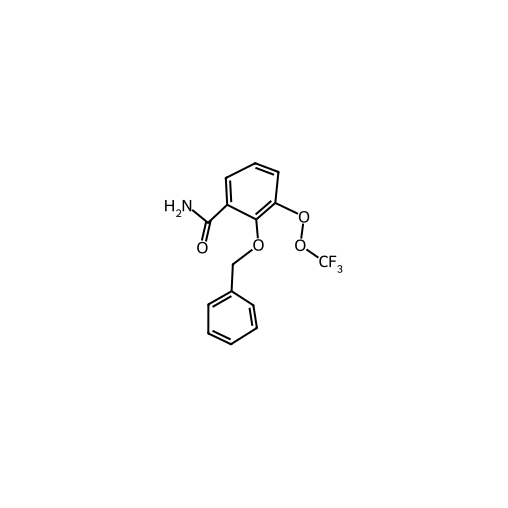 NC(=O)c1cccc(OOC(F)(F)F)c1OCc1ccccc1